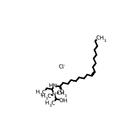 CCCCCCCC/C=C\CCCCCCCC(=O)NC(CC)[N+](C)(C)C(C)O.[Cl-]